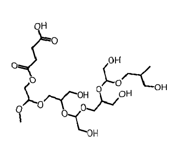 COC(COC(=O)CCC(=O)O)OCC(CO)OC(CO)OCC(CO)OC(CO)OCC(C)CO